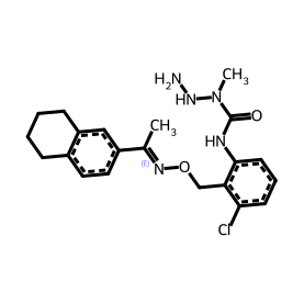 C/C(=N\OCc1c(Cl)cccc1NC(=O)N(C)NN)c1ccc2c(c1)CCCC2